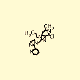 CCCn1c(Cn2ccnc2-c2ccccn2)nc2c(Cl)nc(C)cc21